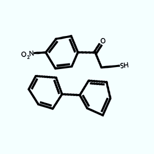 O=C(CS)c1ccc([N+](=O)[O-])cc1.c1ccc(-c2ccccc2)cc1